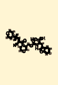 CC(C)(C=C(C#N)C(=O)N1CCOC[C@@H]1COC(=O)NC(Cc1coc2ccccc12)B(O)O)N1CCOCC1